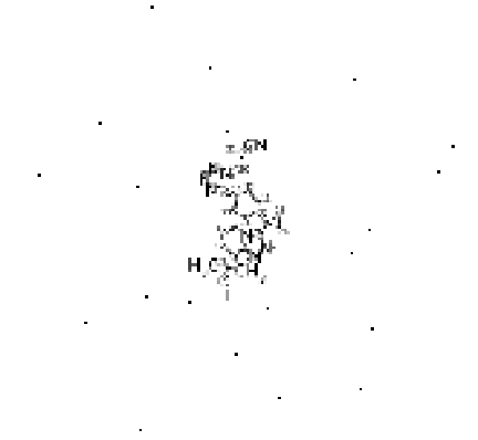 CC(C)(O)c1cccn2c(C3(c4ccc(-c5nnnn5CCC#N)cc4)CC3)nnc12